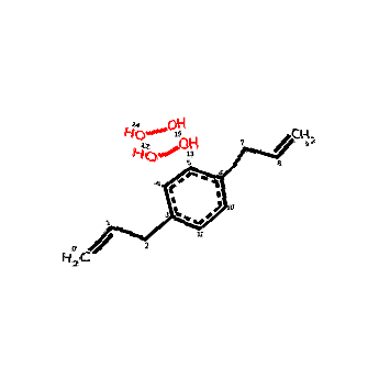 C=CCc1ccc(CC=C)cc1.OO.OO